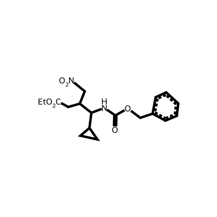 CCOC(=O)CC(C[N+](=O)[O-])C(NC(=O)OCc1ccccc1)C1CC1